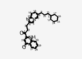 O=C(CCc1cn2cc(CCCC3CCCCC3)ccc2n1)c1cc(=O)c2ccccc2[nH]1